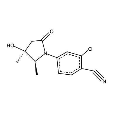 C[C@@H]1N(c2ccc(C#N)c(Cl)c2)C(=O)C[C@]1(C)O